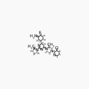 C[C@@H]1CN(c2ncccc2Cl)CCN1c1cc(-c2ccc(F)c(N)c2)nc(N2CCC[C@H]2C)n1